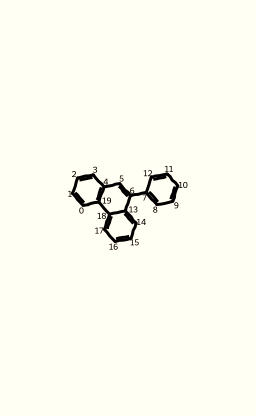 [c]1cccc2cc(-c3ccccc3)c3ccccc3c12